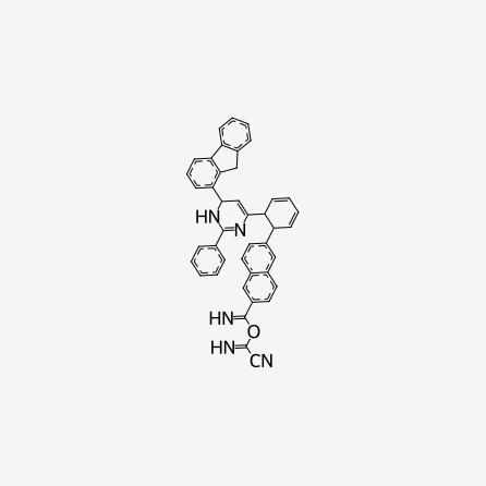 N#CC(=N)OC(=N)c1ccc2cc(C3C=CC=CC3C3=CC(c4cccc5c4Cc4ccccc4-5)NC(c4ccccc4)=N3)ccc2c1